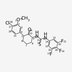 COc1cc(C2CCCC(NC(=S)Nc3cc(F)c(F)c(F)c3)C2=O)ccc1Cl